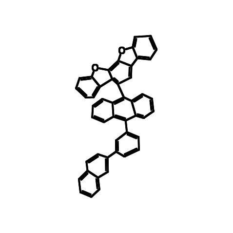 c1cc(-c2ccc3ccccc3c2)cc(-c2c3ccccc3c(-c3cc4c5ccccc5oc4c4oc5ccccc5c34)c3ccccc23)c1